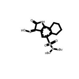 CCCCN(CCCC)S(=O)(=O)c1cc2c(c3c1CCCC3)NC(=O)C2=NO